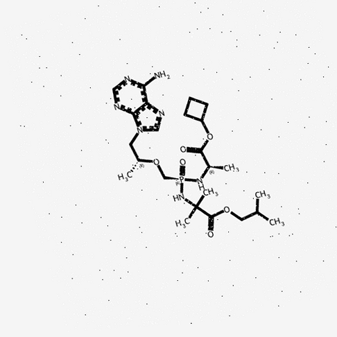 CC(C)COC(=O)C(C)(C)N[P@@](=O)(CO[C@H](C)Cn1cnc2c(N)ncnc21)N[C@H](C)C(=O)OC1CCC1